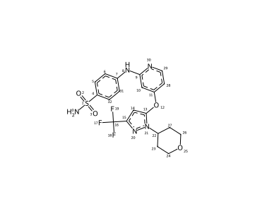 NS(=O)(=O)c1ccc(Nc2cc(Oc3cc(C(F)(F)F)nn3C3CCOCC3)ccn2)cc1